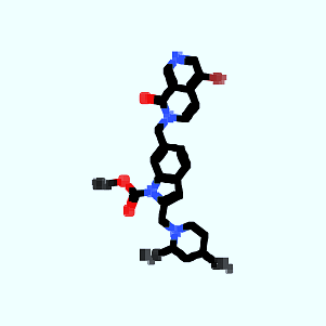 CC1CCN(Cc2cc3ccc(Cn4ccc5c(Br)cncc5c4=O)cc3n2C(=O)OC(C)(C)C)C(C)C1